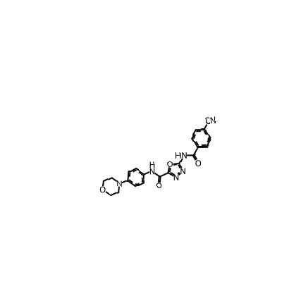 N#Cc1ccc(C(=O)Nc2nnc(C(=O)Nc3ccc(N4CCOCC4)cc3)o2)cc1